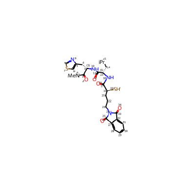 CNC(=O)[C@H](Cc1cscn1)NC(=O)[C@H](CC(C)C)NC(=O)C(S)CCCN1C(=O)c2ccccc2C1=O